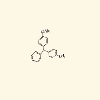 COc1ccc(C(c2ccccc2)c2ccc(C)cc2)cc1